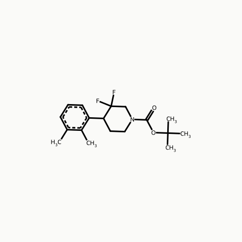 Cc1cccc(C2CCN(C(=O)OC(C)(C)C)CC2(F)F)c1C